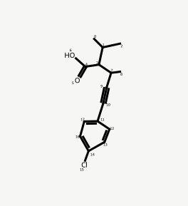 CC(C)C(C(=O)O)C(C)C#Cc1ccc(Cl)cc1